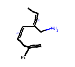 C=C(/C=C\C(=C/C)CN)CC